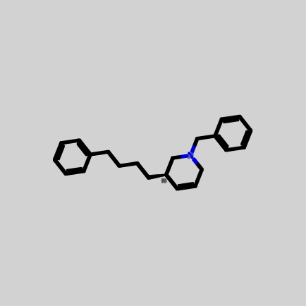 C1=C[C@@H](CCCCc2ccccc2)CN(Cc2ccccc2)C1